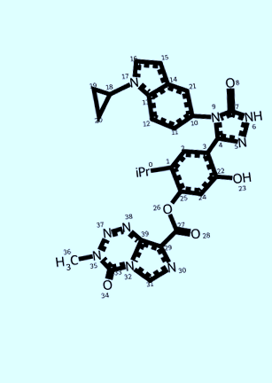 CC(C)c1cc(-c2n[nH]c(=O)n2-c2ccc3c(ccn3C3CC3)c2)c(O)cc1OC(=O)c1ncn2c(=O)n(C)nnc12